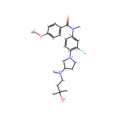 CCCCOc1ccc(C(=O)N(C)c2ccc(N3CCC(N(C)CCC(C)(C)O)C3)c(F)c2)cc1